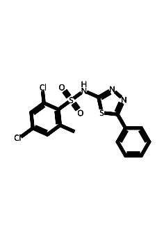 Cc1cc(Cl)cc(Cl)c1S(=O)(=O)Nc1nnc(-c2ccccc2)s1